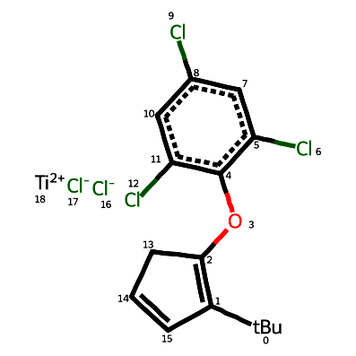 CC(C)(C)C1=C(Oc2c(Cl)cc(Cl)cc2Cl)CC=C1.[Cl-].[Cl-].[Ti+2]